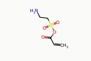 C=CC(=O)OS(=O)(=O)CCN